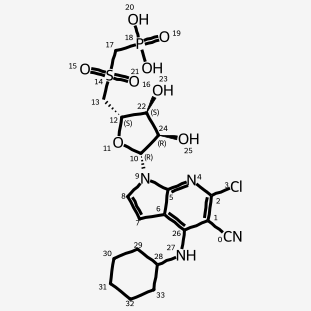 N#Cc1c(Cl)nc2c(ccn2[C@@H]2O[C@H](CS(=O)(=O)CP(=O)(O)O)[C@@H](O)[C@H]2O)c1NC1CCCCC1